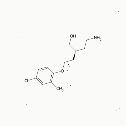 Cc1cc(Cl)ccc1OCC[C@@H](CO)CCN